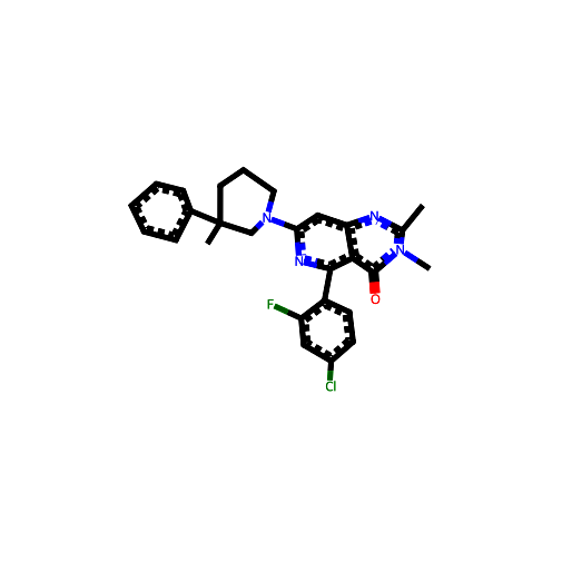 Cc1nc2cc(N3CCCC(C)(c4ccccc4)C3)nc(-c3ccc(Cl)cc3F)c2c(=O)n1C